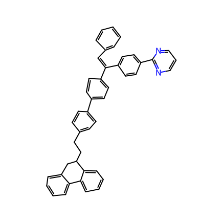 C(=C(\c1ccc(-c2ccc(CCC3Cc4ccccc4-c4ccccc43)cc2)cc1)c1ccc(-c2ncccn2)cc1)/c1ccccc1